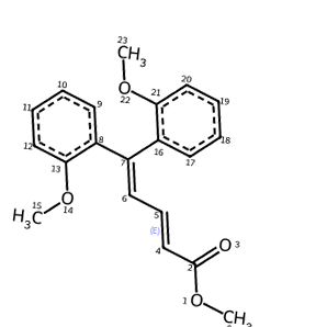 COC(=O)/C=C/C=C(c1ccccc1OC)c1ccccc1OC